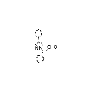 O=CCC(c1ccccc1)n1ncc(-c2ccccc2)n1